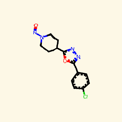 O=NN1CCC(c2nnc(-c3ccc(Cl)cc3)o2)CC1